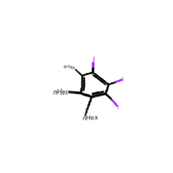 CCCCCCc1c(I)c(I)c(I)c(CCCCCC)c1CCCCCC